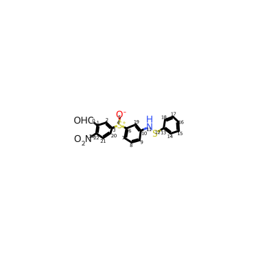 O=Cc1cc([S+]([O-])c2cccc(NSc3ccccc3)c2)ccc1[N+](=O)[O-]